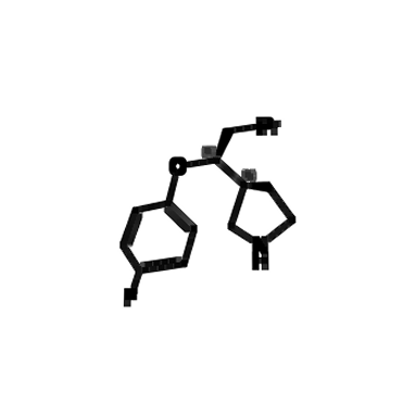 CC(C)C[C@H](Oc1ccc(F)cc1)[C@H]1CCNC1